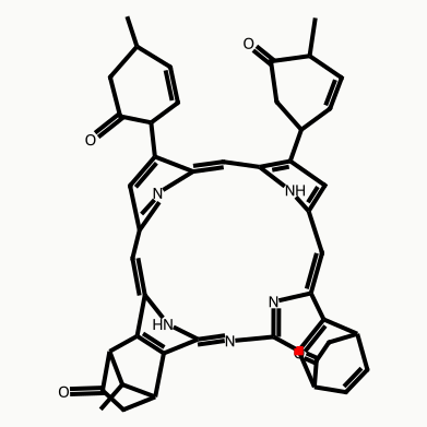 CC1C=CC(C2=Cc3cc4[nH]c(nc5nc(cc6cc(C7C=CC(C)C(=O)C7)c(cc2n3)[nH]6)C2=C5C3C=CC2CC3=O)c2c4C3C(=O)CC2C3C)C(=O)C1